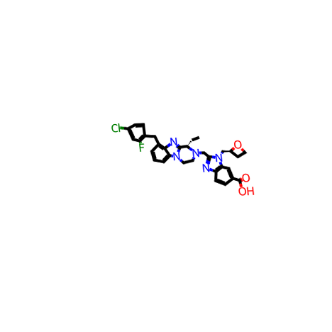 CC[C@H]1c2nc3c(Cc4ccc(Cl)cc4F)cccc3n2CCN1Cc1nc2ccc(C(=O)O)cc2n1C[C@@H]1CCO1